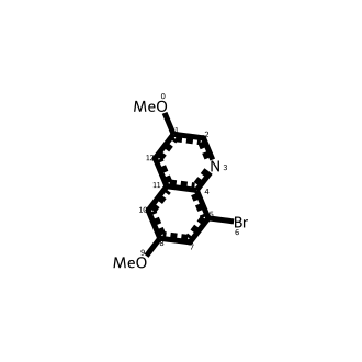 COc1cnc2c(Br)cc(OC)cc2c1